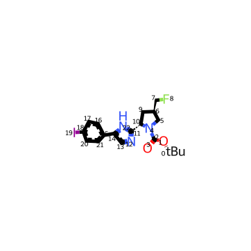 CC(C)(C)OC(=O)N1C[C@H](CF)C[C@H]1c1ncc(-c2ccc(I)cc2)[nH]1